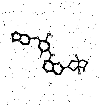 Cc1cc(Nc2ncnc3ccc([C@H]4C[C@@H]5CCN[C@@H]5C4)nc23)c(F)cc1Oc1ccn2ncnc2c1